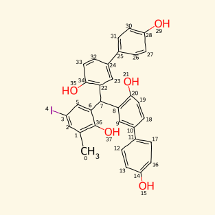 Cc1cc(I)cc(C(c2cc(-c3ccc(O)cc3)ccc2O)c2cc(-c3ccc(O)cc3)ccc2O)c1O